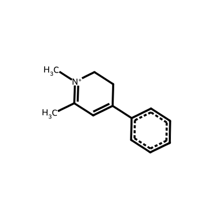 CC1=[N+](C)CCC(c2ccccc2)=C1